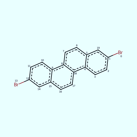 Brc1ccc2c(ccc3c4ccc(Br)cc4ccc23)c1